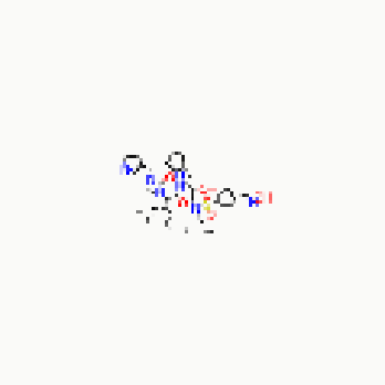 CCC(C)C(C(=O)N[C@@H](Cc1ccccc1)[C@H](O)CN(CC1CCC1)S(=O)(=O)c1ccc(/C=N/O)cc1)N1CCN(Cc2cccnc2)C1=O